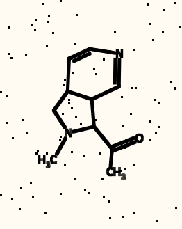 CC(=O)C1C2C=NC=CC2CN1C